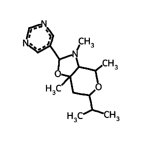 CC(C)C1CC2(C)OC(c3cncnc3)N(C)C2C(C)O1